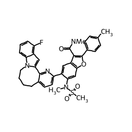 CNC(=O)c1c(-c2ccc(C)cc2)oc2cc(N(C)S(C)(=O)=O)c(-c3ccc4c(n3)-c3cc5c(F)cccc5n3CCCC4)cc12